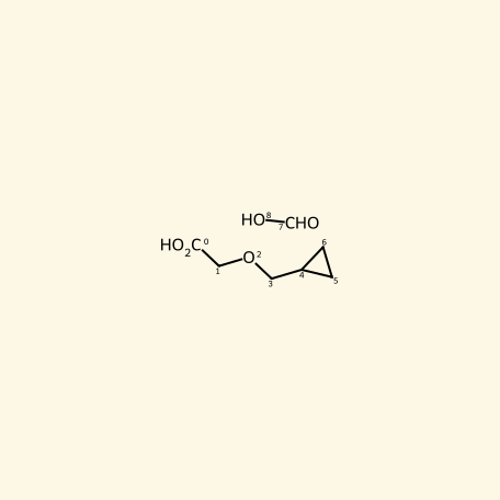 O=C(O)COCC1CC1.O=CO